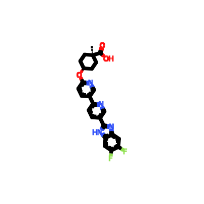 C[C@]1(C(=O)O)CC[C@@H](Oc2ccc(-c3ccc(-c4nc5cc(F)c(F)cc5[nH]4)cn3)cn2)CC1